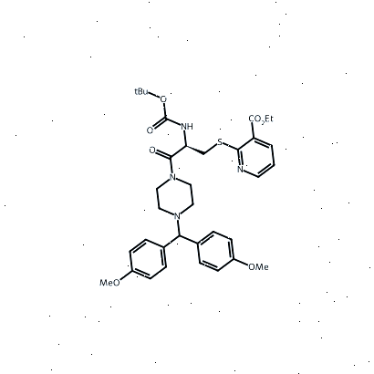 CCOC(=O)c1cccnc1SC[C@H](NC(=O)OC(C)(C)C)C(=O)N1CCN(C(c2ccc(OC)cc2)c2ccc(OC)cc2)CC1